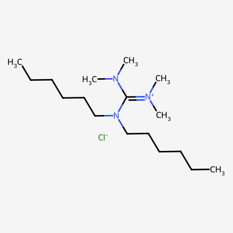 CCCCCCN(CCCCCC)C(N(C)C)=[N+](C)C.[Cl-]